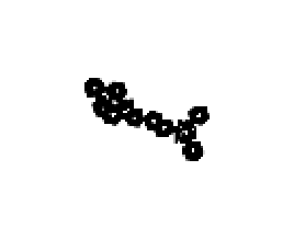 c1ccc(-c2ccc3ccc4c5ccc(-c6ccc7cc(-c8nc(-c9ccccc9)nc(-c9ccccc9)n8)ccc7c6)cc5nc(-c5ccccc5)c4c3n2)cc1